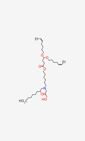 CC/C=C\CCCCOC(CCC(=O)OCCCCCCN(CCCO)CC(O)CCCCCC(=O)O)OCCCC/C=C\CC